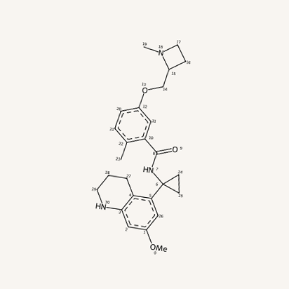 COc1cc2c(c(C3(NC(=O)c4cc(OCC5CCN5C)ccc4C)CC3)c1)CCCN2